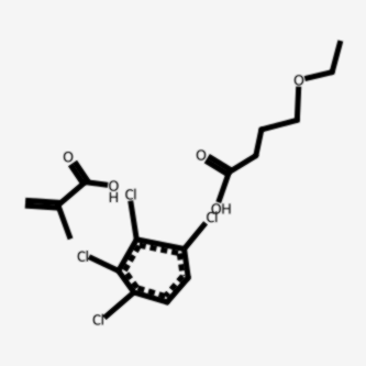 C=C(C)C(=O)O.CCOCCCC(=O)O.Clc1ccc(Cl)c(Cl)c1Cl